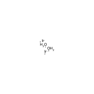 O.O.[Ir].[Ir]